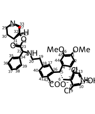 COc1ccc([C@H](Cc2c(Cl)c[n+](O)cc2Cl)c2cc(CCNC(C(=O)O[C@H]3CN4CCC3CC4)c3ccccc3)ccc2C(=O)[O-])cc1OC